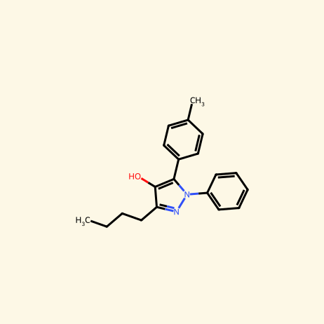 CCCCc1nn(-c2ccccc2)c(-c2ccc(C)cc2)c1O